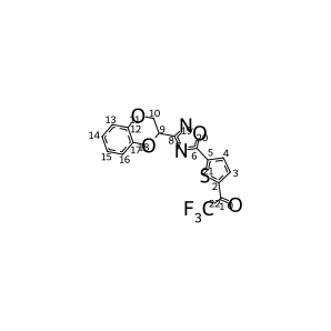 O=C(c1ccc(-c2nc(C3COc4ccccc4O3)no2)s1)C(F)(F)F